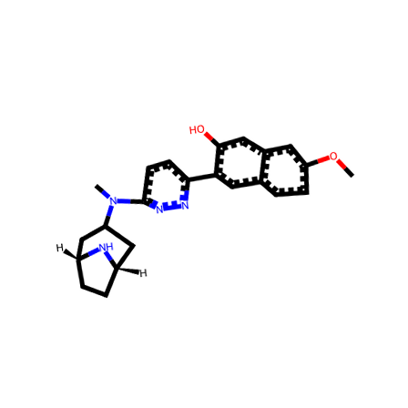 COc1ccc2cc(-c3ccc(N(C)C4C[C@H]5CC[C@@H](C4)N5)nn3)c(O)cc2c1